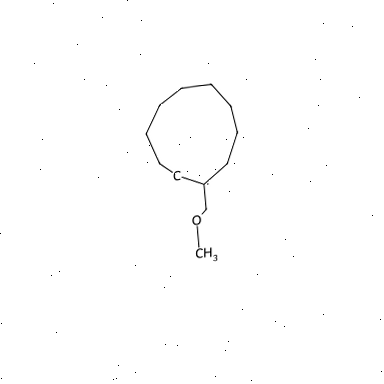 COC[C]1CCCCCCCCC1